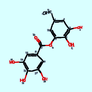 O=[C]c1cc(O)c(O)c(OC(=O)c2cc(O)c(O)c(O)c2)c1